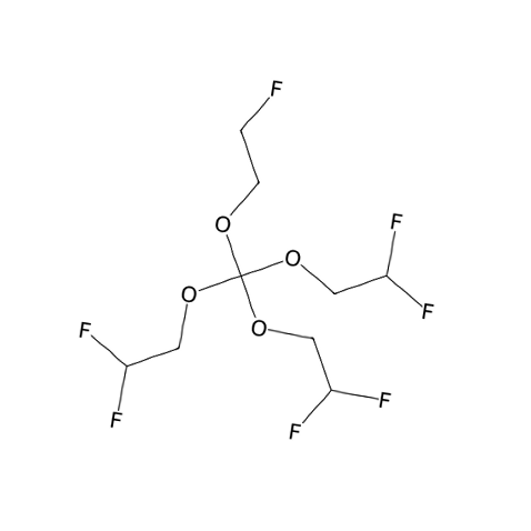 FCCOC(OCC(F)F)(OCC(F)F)OCC(F)F